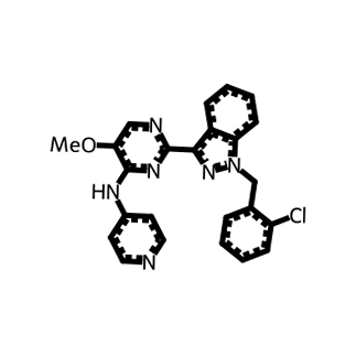 COc1cnc(-c2nn(Cc3ccccc3Cl)c3ccccc23)nc1Nc1ccncc1